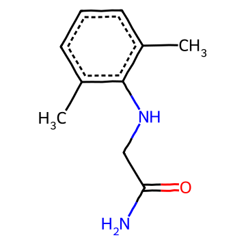 Cc1cccc(C)c1NCC(N)=O